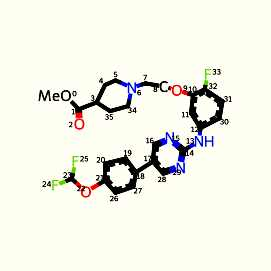 COC(=O)C1CCN(CCOc2cc(Nc3ncc(-c4ccc(OC(F)F)cc4)cn3)ccc2F)CC1